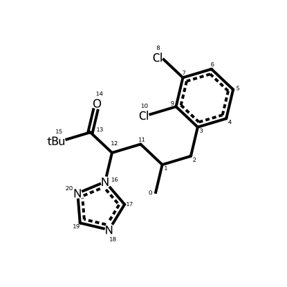 CC(Cc1cccc(Cl)c1Cl)CC(C(=O)C(C)(C)C)n1cncn1